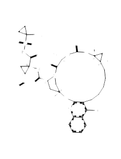 C=C[C@@H]1C[C@]1(NC(=O)[C@@H]1C[C@@H]2CN1C(=O)[C@H](C(C)(C)C)NC(=O)O[C@@H]1C[C@H]1CCCCCc1c(nc3ccccc3c1O)O2)C(=O)NS(=O)(=O)C1(C)CC1